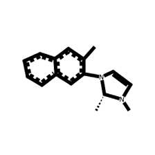 Cc1cc2ccccc2cc1N1C=CN(C)[C@@H]1C